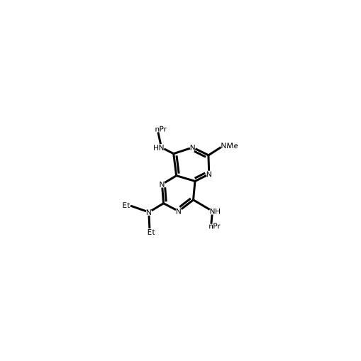 CCCNc1nc(N(CC)CC)nc2c(NCCC)nc(NC)nc12